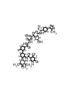 Cc1ncsc1-c1ccc([C@H](C)NC(=O)[C@H]2C[C@H](O)CN2C(=O)[C@@H](NC(=O)CNC(=O)c2ccc(F)c(-c3ccc(N4C[C@@H](C)N(C)[C@@H](C)C4)c(NC(=O)c4c[nH]c(=O)cc4C(F)(F)F)c3)c2)C(C)(C)C)cc1